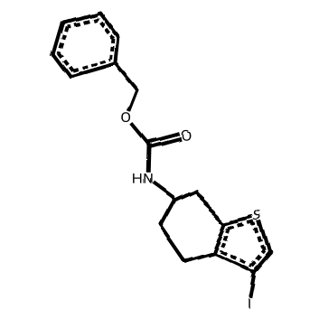 O=C(NC1CCc2c(I)csc2C1)OCc1ccccc1